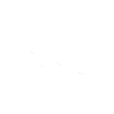 O=C(NC1CNC1)c1cccnc1Br